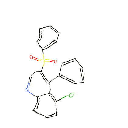 O=S(=O)(c1ccccc1)c1cnc2cccc(Cl)c2c1-c1ccccc1